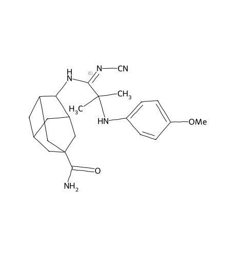 COc1ccc(NC(C)(C)/C(=N\C#N)NC2C3CC4CC2CC(C(N)=O)(C4)C3)cc1